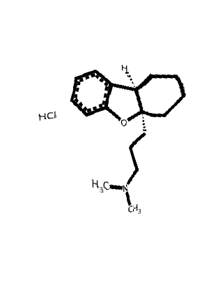 CN(C)CCC[C@@]12CCCC[C@@H]1c1ccccc1O2.Cl